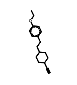 C#CC1CCC(CCc2ccc(OCC)cc2)CC1